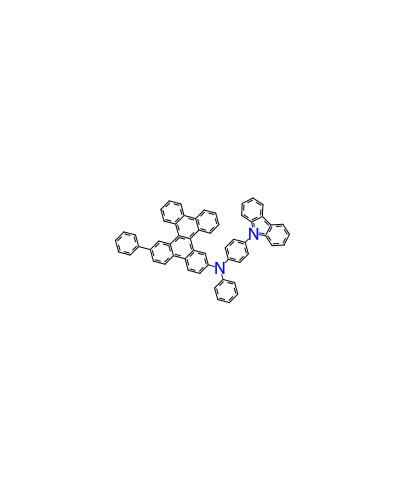 c1ccc(-c2ccc3c4ccc(N(c5ccccc5)c5ccc(-n6c7ccccc7c7ccccc76)cc5)cc4c4c5ccccc5c5ccccc5c4c3c2)cc1